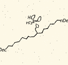 CCCCCCCCCCCCCCCCCCC(CCCCCCCCCCCCCCCC)COP(=O)(O)O